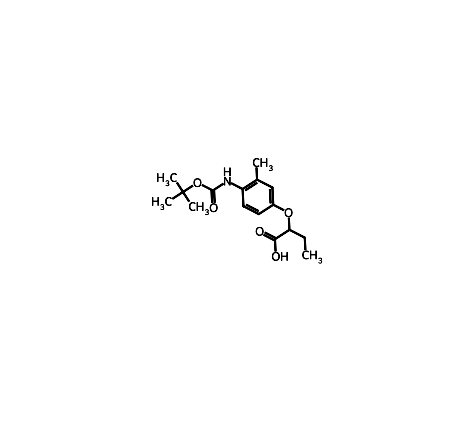 CCC(Oc1ccc(NC(=O)OC(C)(C)C)c(C)c1)C(=O)O